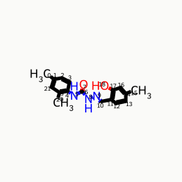 Cc1ccc(NC(=O)NN=Cc2ccc(C)cc2O)c(C)c1